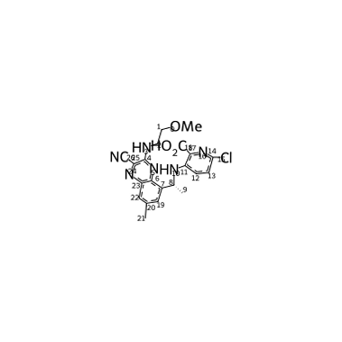 COCCNc1nc2c([C@@H](C)Nc3ccc(Cl)nc3C(=O)O)cc(C)cc2nc1C#N